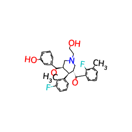 Cc1cccc(C(=O)[C@H]2CN(CCO)C[C@H](C(=O)c3cccc(O)c3)[C@@H]2c2cccc(F)c2C)c1F